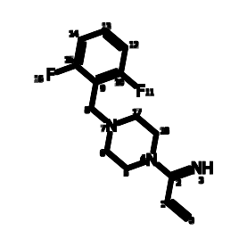 C=CC(=N)N1CCN(Cc2c(F)cccc2F)CC1